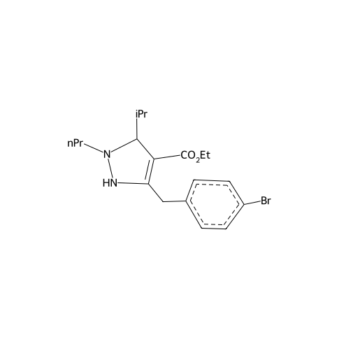 CCCN1NC(Cc2ccc(Br)cc2)=C(C(=O)OCC)C1C(C)C